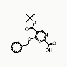 CC(C)(C)OC(=O)c1cnc(C(=O)O)nc1OCc1ccccc1